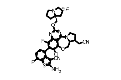 N#CCC1CCN2c3nc(OC[C@@]45CCCN4C[C@H](F)C5)nc4c(F)c(-c5ccc(F)c6sc(N)c(C#N)c56)c(Cl)c(c34)OCC12